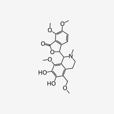 COCc1c(O)c(O)c(OC)c2c1CCN(C)C2C1OC(=O)c2c1ccc(OC)c2OC